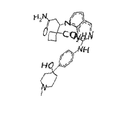 CN1CCC(O)(c2ccc(Nc3ncc4ccn(C(CC(N)=O)C5(C(=O)O)CCC5)c4n3)cc2)CC1